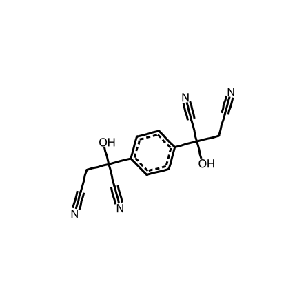 N#CCC(O)(C#N)c1ccc(C(O)(C#N)CC#N)cc1